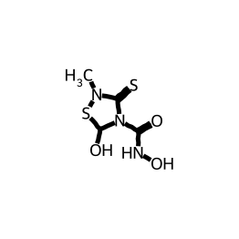 CN1SC(O)N(C(=O)NO)C1=S